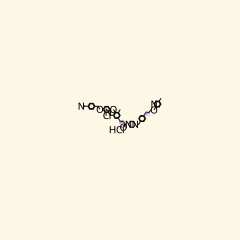 Cc1ccc(OC/C=C/c2ccc(CN3CCN(C(=O)/C=C/c4cc(C)c(Oc5ccc(OCc6ccc(C#N)cc6)cn5)c(Cl)c4)CC3)cc2)nc1.Cl